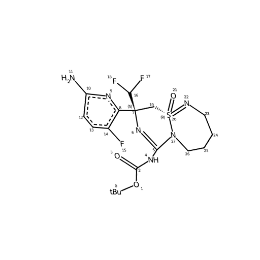 CC(C)(C)OC(=O)NC1=N[C@@](c2nc(N)ccc2F)(C(F)F)C[S@]2(=O)=NCCCCN12